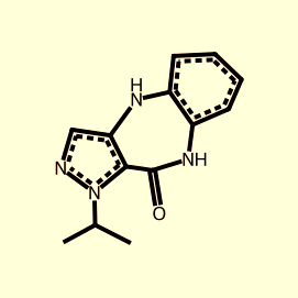 CC(C)n1ncc2c1C(=O)Nc1ccccc1N2